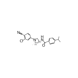 CC(C)c1ccc(C(=O)N[C@@H]2C[C@H](C)N(c3ccc(C#N)c(Cl)c3)C2)cc1